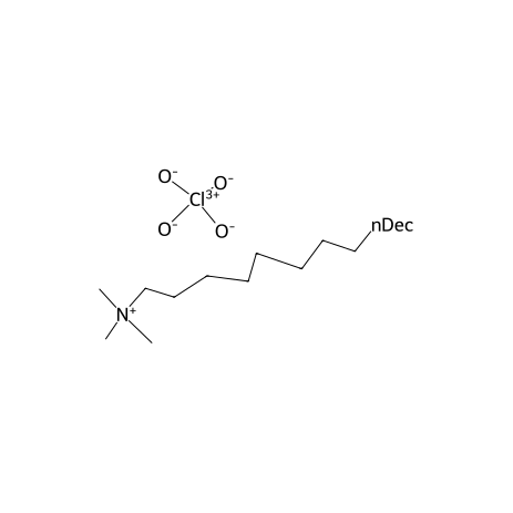 CCCCCCCCCCCCCCCCCC[N+](C)(C)C.[O-][Cl+3]([O-])([O-])[O-]